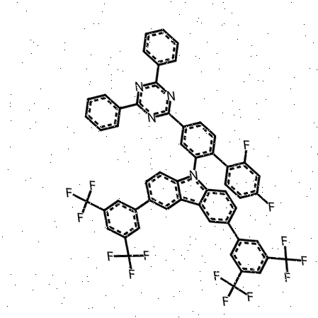 Fc1ccc(-c2ccc(-c3nc(-c4ccccc4)nc(-c4ccccc4)n3)cc2-n2c3ccc(-c4cc(C(F)(F)F)cc(C(F)(F)F)c4)cc3c3cc(-c4cc(C(F)(F)F)cc(C(F)(F)F)c4)ccc32)c(F)c1